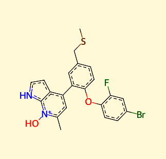 CSCc1ccc(Oc2ccc(Br)cc2F)c(-c2cc(C)[n+](O)c3[nH]ccc23)c1